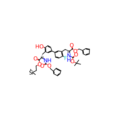 CC(C)(C)OC(=O)N[C@@H](Cc1cc(-c2ccc(O)c(C[C@H](NC(=O)OCc3ccccc3)C(=O)OCC[Si](C)(C)C)c2)ccc1F)C(=O)OCc1ccccc1